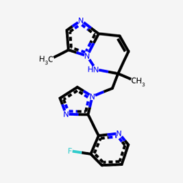 Cc1cnc2n1NC(C)(Cn1ccnc1-c1ncccc1F)C=C2